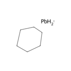 C1CCCCC1.[PbH2]